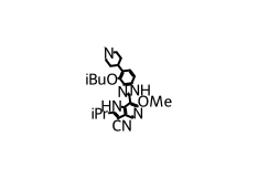 COc1ncc2c(C#N)c(C(C)C)[nH]c2c1-c1nc2c(OCC(C)C)c(C3CCN(C)CC3)ccc2[nH]1